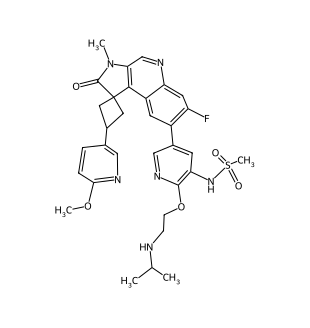 COc1ccc(C2CC3(C2)C(=O)N(C)c2cnc4cc(F)c(-c5cnc(OCCNC(C)C)c(NS(C)(=O)=O)c5)cc4c23)cn1